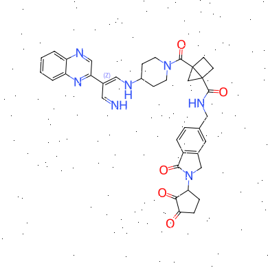 N=C/C(=C\NC1CCN(C(=O)C23CCC2(C(=O)NCc2ccc4c(c2)CN(C2CCC(=O)C2=O)C4=O)C3)CC1)c1cnc2ccccc2n1